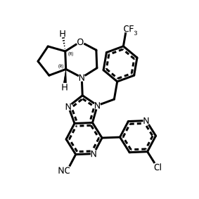 N#Cc1cc2nc(N3CCO[C@@H]4CCC[C@H]43)n(Cc3ccc(C(F)(F)F)cc3)c2c(-c2cncc(Cl)c2)n1